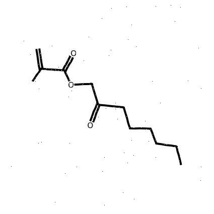 C=C(C)C(=O)OCC(=O)CCCCCC